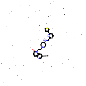 COc1cnc2ccc(=O)n(CCN3CCC(NCc4cccc(-c5ccsc5)n4)CC3)c2c1